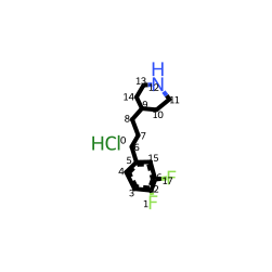 Cl.Fc1ccc(CCCC2CCNCC2)cc1F